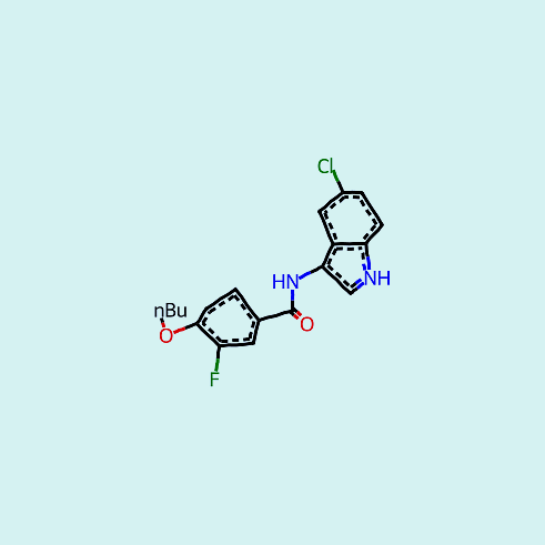 CCCCOc1ccc(C(=O)Nc2c[nH]c3ccc(Cl)cc23)cc1F